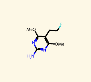 COc1nc(N)nc(OC)c1CCF